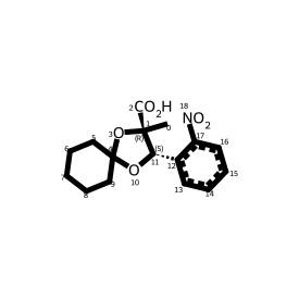 C[C@@]1(C(=O)O)OC2(CCCCC2)O[C@H]1c1ccccc1[N+](=O)[O-]